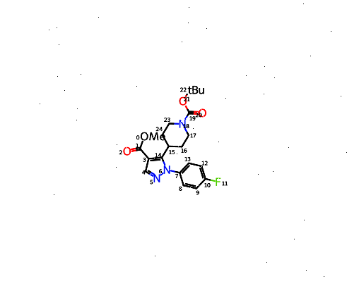 COC(=O)c1cnn(-c2ccc(F)cc2)c1C1CCN(C(=O)OC(C)(C)C)CC1